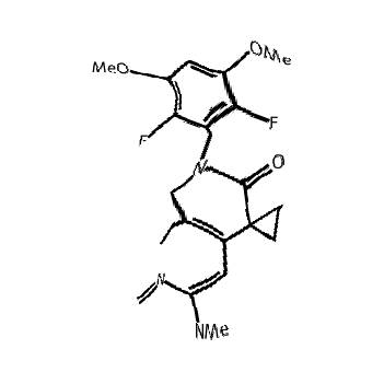 C=N/C(=C\C1=C(C)CN(c2c(F)c(OC)cc(OC)c2F)C(=O)C12CC2)NC